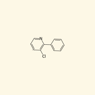 Clc1[c]ccnc1-c1ccccc1